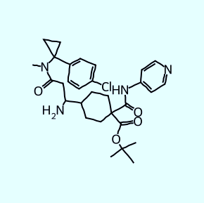 CN(C(=O)CC(N)C1CCC(C(=O)Nc2ccncc2)(C(=O)OC(C)(C)C)CC1)C1(c2ccc(Cl)cc2)CC1